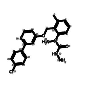 Cc1cccc(N(N)C(=O)NN)c1COc1ccnc(-c2ccc(Cl)cc2)c1